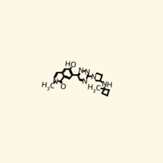 Cn1ccc2cc(O)c(-c3cnc(N4CCC(NC5(C)CCC5)C4)nn3)cc2c1=O